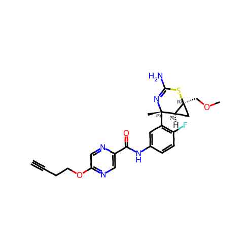 C#CCCOc1cnc(C(=O)Nc2ccc(F)c([C@]3(C)N=C(N)S[C@@]4(COC)C[C@H]43)c2)cn1